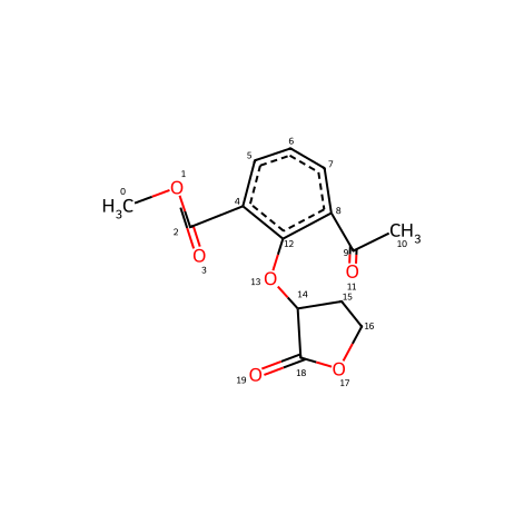 COC(=O)c1cccc(C(C)=O)c1OC1CCOC1=O